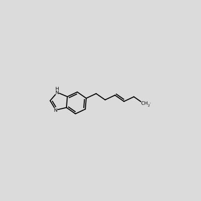 [CH2]CC=CCCc1ccc2nc[nH]c2c1